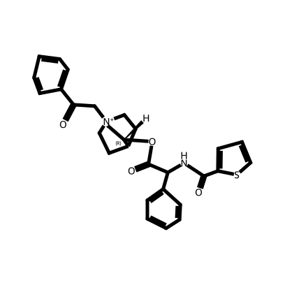 O=C(C[N+]12CCC(CC1)[C@@H](OC(=O)C(NC(=O)c1cccs1)c1ccccc1)C2)c1ccccc1